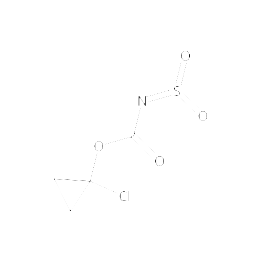 O=C(N=S(=O)=O)OC1(Cl)CC1